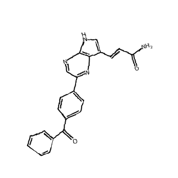 NC(=O)/C=C/c1c[nH]c2ncc(-c3ccc(C(=O)c4ccccc4)cc3)nc12